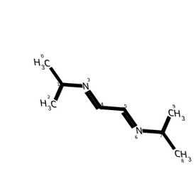 CC(C)N=CC=NC(C)C